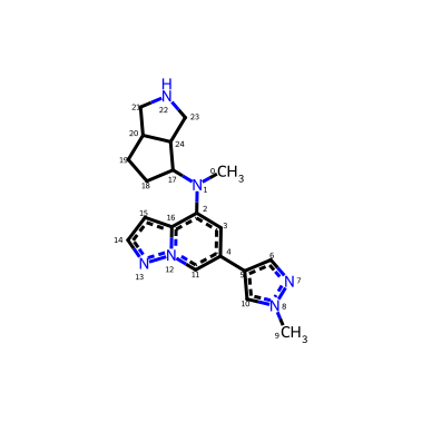 CN(c1cc(-c2cnn(C)c2)cn2nccc12)C1CCC2CNCC21